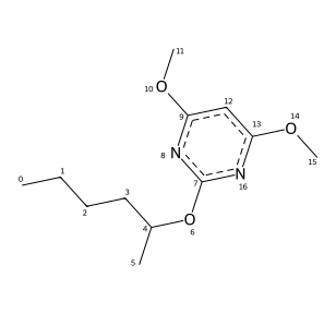 CCCCC(C)Oc1nc(OC)cc(OC)n1